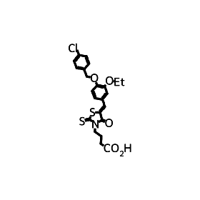 CCOc1cc(/C=C2\SC(=S)N(CCCC(=O)O)C2=O)ccc1OCc1ccc(Cl)cc1